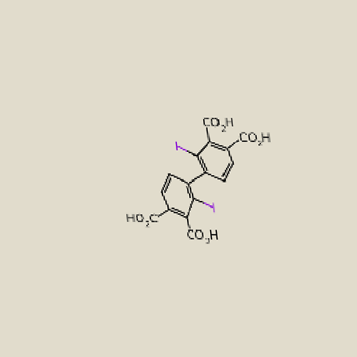 O=C(O)c1ccc(-c2ccc(C(=O)O)c(C(=O)O)c2I)c(I)c1C(=O)O